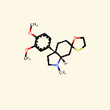 COc1ccc([C@]23CCN(C)[C@H]2CC2(CC3)OCCS2)cc1OC